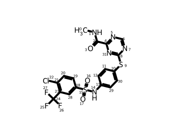 CNC(=O)c1ncnc(Sc2ccc(NS(=O)(=O)c3ccc(Cl)c(C(F)(F)F)c3)cc2)n1